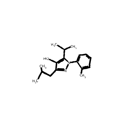 Cc1ccccc1-n1nc(CC(C)C)c(O)c1C(C)C